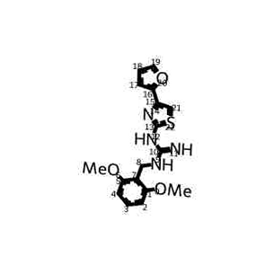 COc1cccc(OC)c1CNC(=N)Nc1nc(-c2ccco2)cs1